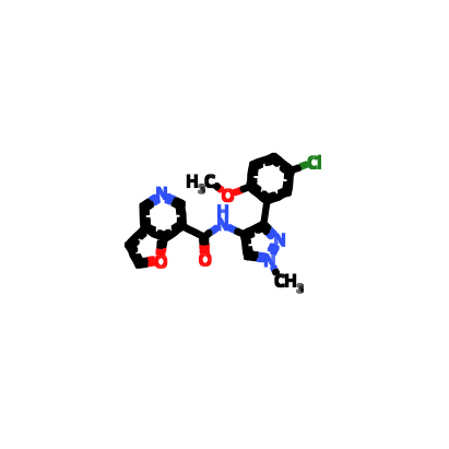 COc1ccc(Cl)cc1-c1nn(C)cc1NC(=O)c1cncc2ccoc12